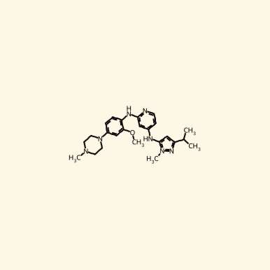 COc1cc(N2CCN(C)CC2)ccc1Nc1cc(Nc2cc(C(C)C)nn2C)ccn1